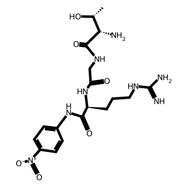 C[C@@H](O)[C@H](N)C(=O)NCC(=O)N[C@@H](CCCNC(=N)N)C(=O)Nc1ccc([N+](=O)[O-])cc1